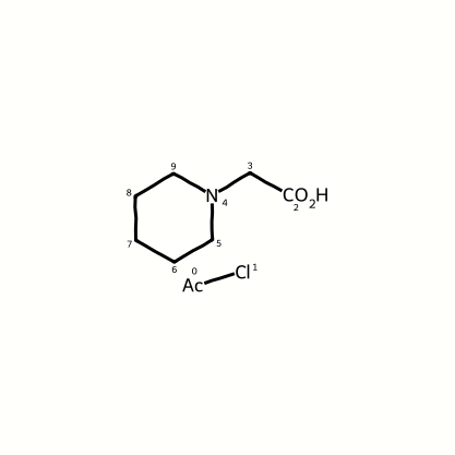 CC(=O)Cl.O=C(O)CN1CCCCC1